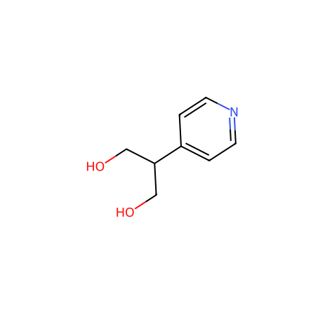 OCC(CO)c1ccncc1